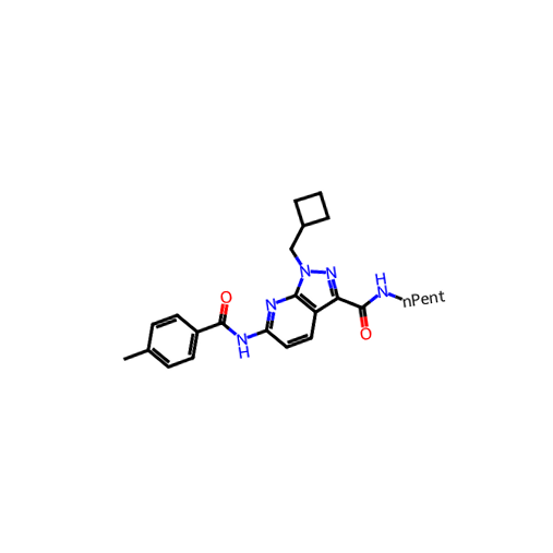 CCCCCNC(=O)c1nn(CC2CCC2)c2nc(NC(=O)c3ccc(C)cc3)ccc12